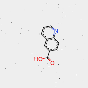 O=C(O)c1ccc2ncc[c]c2c1